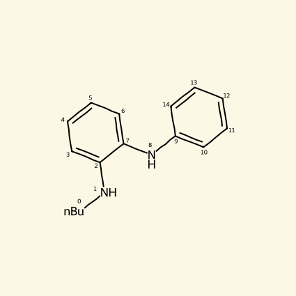 CCCCNc1ccccc1Nc1ccccc1